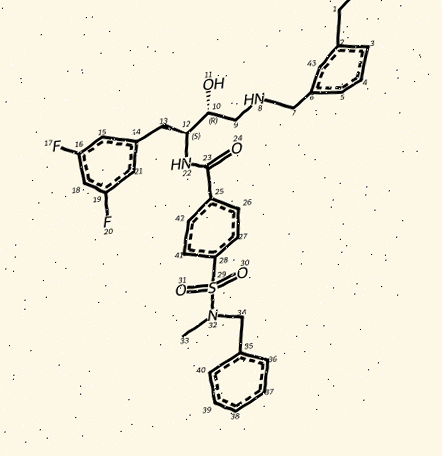 CCc1cccc(CNC[C@@H](O)[C@H](Cc2cc(F)cc(F)c2)NC(=O)c2ccc(S(=O)(=O)N(C)Cc3ccccc3)cc2)c1